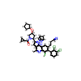 Cc1nc2c(F)c(-c3cccc(Cl)c3Cl)c(CCC#N)cc2c2c1cc(C1CC(OC3CCCC3)CN1C(=O)C1CC1)n2C1C2CNC1C2